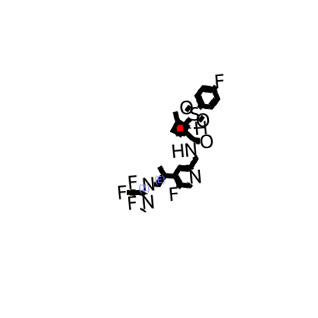 C=N/C(=N\C=C(/C)c1cc(CNC(=O)[C@@H]2C3CC(C)(C3)N2S(=O)(=O)c2ccc(F)cc2)ncc1F)C(F)(F)F